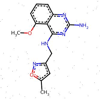 COc1cccc2nc(N)nc(NCc3cc(C)on3)c12